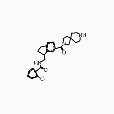 O=C(NCC1CCc2ccc(C(=O)N3CCC4(CCNCC4)C3)cc21)c1ccccc1Cl